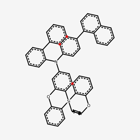 c1ccc(-c2ccccc2N(c2ccc(-c3cccc4ccccc34)cc2)c2ccc3c(c2)Oc2ccccc2[Si]32c3ccccc3Oc3ccccc32)cc1